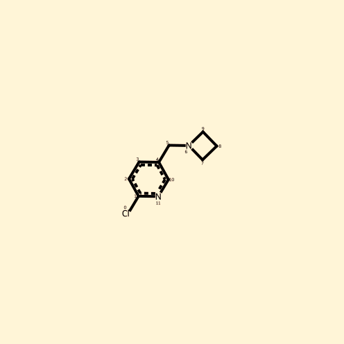 Clc1ccc(CN2CCC2)cn1